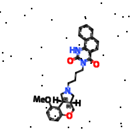 COc1cccc2c1[C@@H]1CN(CCCCn3c(=O)[nH]c4c(ccc5ccccc54)c3=O)C[C@@H]1CO2